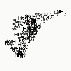 CCc1cc(OCCCCN)ccc1-c1ccc(C[C@H](NC(=O)[C@H](CC(=O)O)NC(=O)[C@H](CO)NC(=O)[C@@H](NC(=O)[C@](C)(Cc2ccccc2F)NC(=O)[C@@H](NC(=O)CNC(=O)[C@H](Cc2nn[nH]n2)NC(=O)[C@H]2CCN(CCC3CN=CN3)C2)[C@@H](C)O)[C@@H](C)O)C(=O)N[C@@H](CCCc2cc(C)cc(C)c2)C(N)=O)cc1